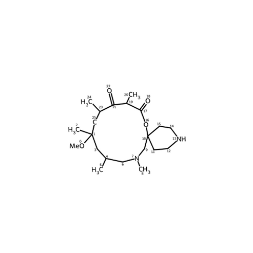 COC1(C)CC(C)CN(C)CC2(CCNCC2)OC(=O)C(C)C(=O)C(C)C1